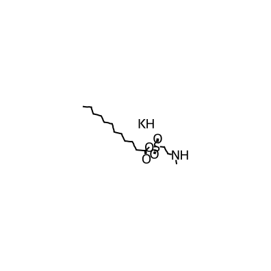 CCCCCCCCCCCC(=O)OS(=O)(=O)CCNC.[KH]